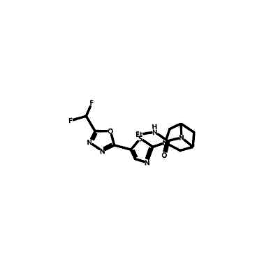 CCNC(=O)N1C2CC1CN(c1ncc(-c3nnc(C(F)F)o3)s1)C2